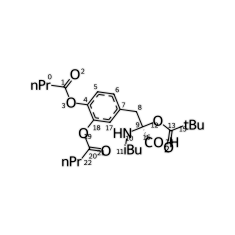 CCCC(=O)Oc1ccc(C[C@](NC(C)CC)(OC(=O)C(C)(C)C)C(=O)O)cc1OC(=O)CCC